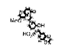 COc1cnc2ccc(=O)n(CCN3CC[C@@H](N(Cc4cc5c(cn4)OCCO5)C(=O)O)[C@H](O)C3)c2c1